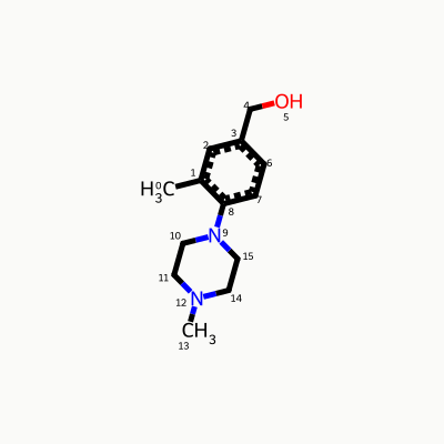 Cc1cc(CO)ccc1N1CCN(C)CC1